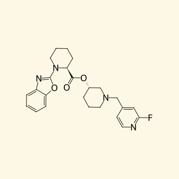 O=C(O[C@H]1CCCN(Cc2ccnc(F)c2)C1)[C@@H]1CCCCN1c1nc2ccccc2o1